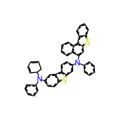 C1=CCC(N(c2ccccc2)c2ccc3sc4cc(N(c5ccccc5)c5cc6sc7ccccc7c6c6ccccc56)ccc4c3c2)C=C1